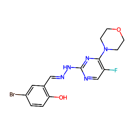 Oc1ccc(Br)cc1/C=N/Nc1ncc(F)c(N2CCOCC2)n1